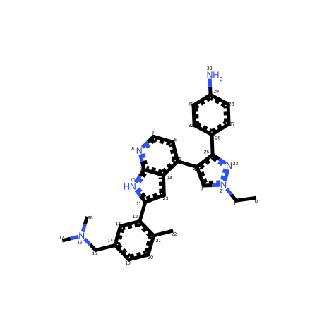 CCn1cc(-c2ccnc3[nH]c(-c4cc(CN(C)C)ccc4C)cc23)c(-c2ccc(N)cc2)n1